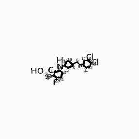 O=C(O)c1c(Nc2ccc(CCc3ccc(Cl)c(Cl)c3)cc2)ccc(F)c1F